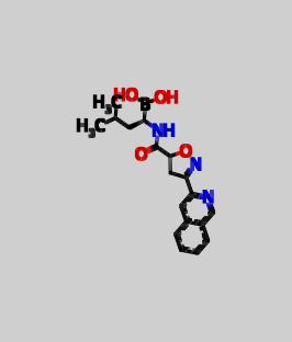 CC(C)C[C@H](NC(=O)C1CC(c2cc3ccccc3cn2)=NO1)B(O)O